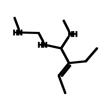 C/C=C(\CC)C(NC)NCNC